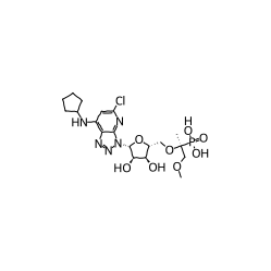 COC[C@@](C)(OC[C@H]1O[C@@H](n2nnc3c(NC4CCCC4)cc(Cl)nc32)[C@H](O)[C@@H]1O)P(=O)(O)O